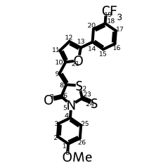 COc1ccc(N2C(=O)C(=Cc3ccc(-c4cccc(C(F)(F)F)c4)o3)SC2=S)cc1